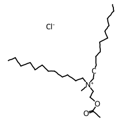 CCCCCCCCCCCC[N+](C)(CCCCCCCCCCCC)CCOC(C)=O.[Cl-]